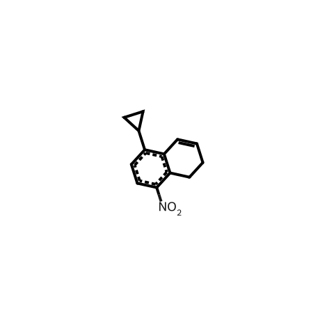 O=[N+]([O-])c1ccc(C2CC2)c2c1CCC=C2